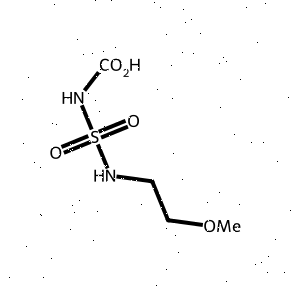 COCCNS(=O)(=O)NC(=O)O